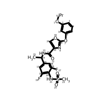 CC(C)Oc1cccc(Oc2nc(C(=O)NC(C)c3cc(F)c(NS(C)(=O)=O)c(F)c3)co2)c1